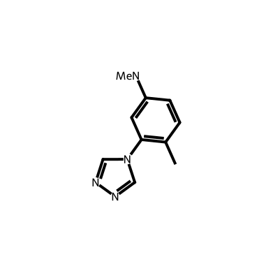 CNc1ccc(C)c(-n2cnnc2)c1